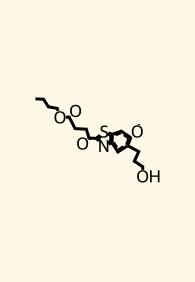 CCCCOC(=O)CCC(=O)c1nc2cc(CCCO)c(OC)cc2s1